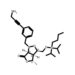 CCCC[Si](OC[C@@H]1ON(Cc2cccc(C#CCN)c2)[C@@H]2C(=O)O[C@@H](C)[C@H]12)(C(C)C)C(C)C